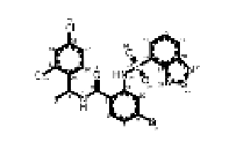 CC(NC(=O)c1ccc(Br)cc1NS(=O)(=O)c1cccc2nsnc12)c1ccc(Cl)cc1Cl